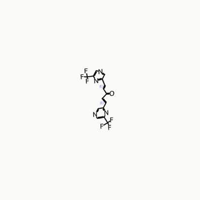 O=C(/C=C/c1cncc(C(F)(F)F)n1)/C=C/c1cncc(C(F)(F)F)n1